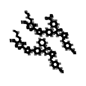 CSCCC(NC(=O)c1ccc(-c2ccc(N(Cc3cncn3Cc3ccc(C#N)cc3)C(=O)C3CCCCC3)cc2)o1)C(=O)O.CSCCC(NC(=O)c1ccc(-c2ccc(N(Cc3cncn3Cc3ccc(C#N)cc3)C(=O)c3ccc([N+](=O)[O-])cc3)cc2)o1)C(=O)O